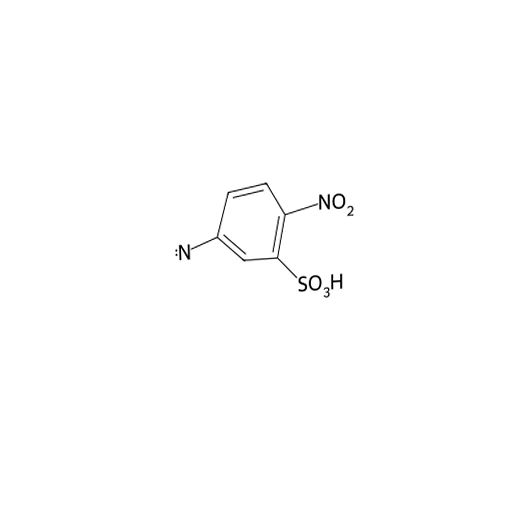 [N]c1ccc([N+](=O)[O-])c(S(=O)(=O)O)c1